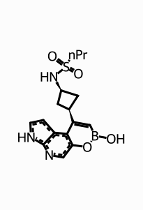 CCCS(=O)(=O)N[C@H]1C[C@@H](C2=CB(O)Oc3cnc4[nH]ccc4c32)C1